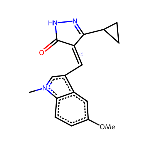 COc1ccc2c(c1)c(/C=C1\C(=O)NN=C1C1CC1)cn2C